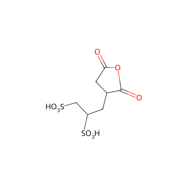 O=C1CC(CC(CS(=O)(=O)O)S(=O)(=O)O)C(=O)O1